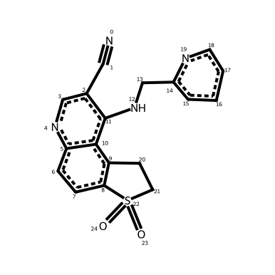 N#Cc1cnc2ccc3c(c2c1NCc1ccccn1)CCS3(=O)=O